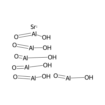 [O]=[Al][OH].[O]=[Al][OH].[O]=[Al][OH].[O]=[Al][OH].[O]=[Al][OH].[O]=[Al][OH].[Sr]